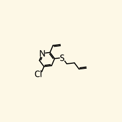 C=CCCSc1cc(Cl)cnc1C=C